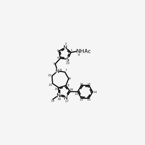 CC(=O)Nc1ncc(CN2CCc3c(-c4ccccc4)nn(C)c3CC2)s1